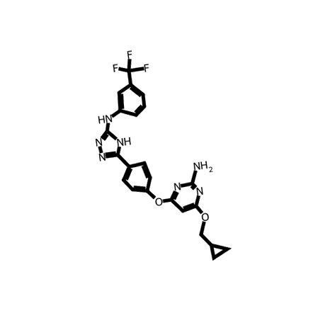 Nc1nc(OCC2CC2)cc(Oc2ccc(-c3nnc(Nc4cccc(C(F)(F)F)c4)[nH]3)cc2)n1